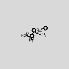 CCN(Cc1ccccc1C1=CC(CC(=O)O)C(F)(C(F)(F)F)C=C1)C(=O)OCc1ccccc1